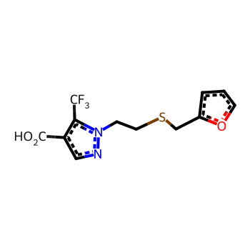 O=C(O)c1cnn(CCSCc2ccco2)c1C(F)(F)F